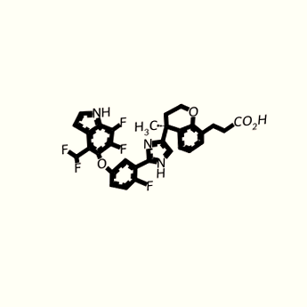 C[C@]1(c2c[nH]c(-c3cc(Oc4c(F)c(F)c5[nH]ccc5c4C(F)F)ccc3F)n2)CCOc2c(CCC(=O)O)cccc21